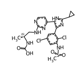 C[C@@H](CNc1nccc(-c2[nH]c(C3CC3)nc2-c2cc(Cl)cc(NS(C)(=O)=O)c2Cl)n1)NC(=O)O